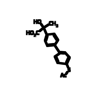 CC(=O)Sc1ccc(-c2ccc(C(C)(O)C(=O)O)cc2)cc1